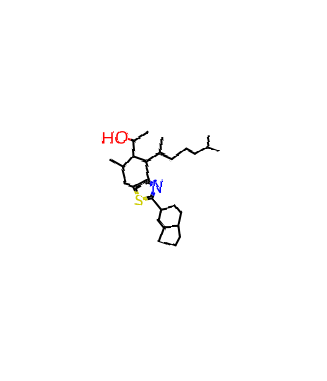 CC(C)CCCC(C)C1c2nc(C3CCC4CCCC4C3)sc2CC(C)C1C(C)O